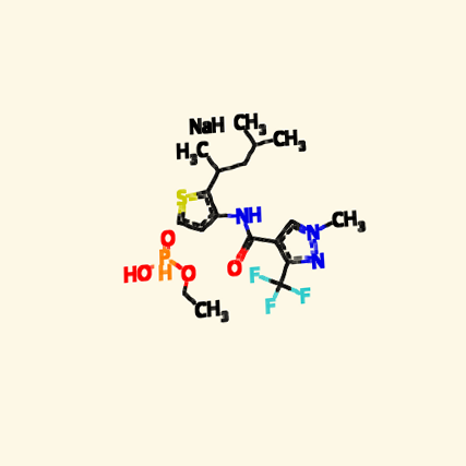 CC(C)CC(C)c1sccc1NC(=O)c1cn(C)nc1C(F)(F)F.CCO[PH](=O)O.[NaH]